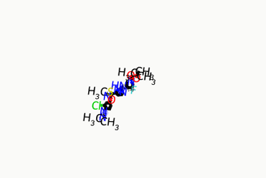 Cc1nc(Oc2ccc(/N=C/N(C)C)c(Cl)c2)c(-c2ccnc(N[C@H]3C[C@H](F)CN(C(=O)OC(C)(C)C)C3)n2)s1